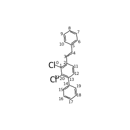 Clc1c(C=Cc2ccccc2)ccc(-c2ccccc2)c1Cl